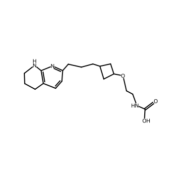 O=C(O)NCCOC1CC(CCCc2ccc3c(n2)NCCC3)C1